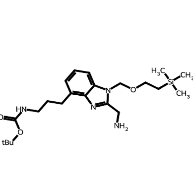 CC(C)(C)OC(=O)NCCCc1cccc2c1nc(CN)n2COCC[Si](C)(C)C